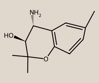 Cc1ccc2c(c1)[C@@H](N)[C@H](O)C(C)(C)O2